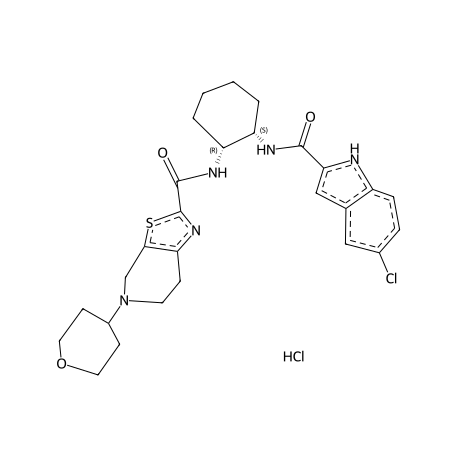 Cl.O=C(N[C@H]1CCCC[C@H]1NC(=O)c1nc2c(s1)CN(C1CCOCC1)CC2)c1cc2cc(Cl)ccc2[nH]1